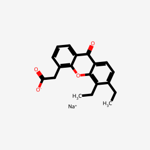 CCc1ccc2c(=O)c3cccc(CC(=O)[O-])c3oc2c1CC.[Na+]